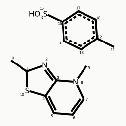 CC1N=C2C(=CC=CN2C)S1.Cc1ccc(S(=O)(=O)O)cc1